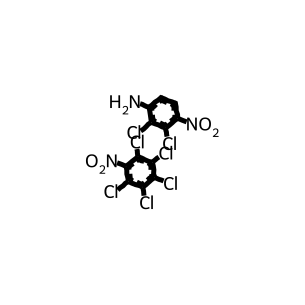 Nc1ccc([N+](=O)[O-])c(Cl)c1Cl.O=[N+]([O-])c1c(Cl)c(Cl)c(Cl)c(Cl)c1Cl